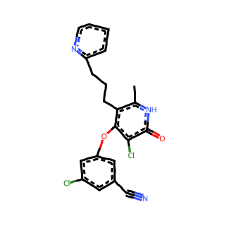 Cc1[nH]c(=O)c(Cl)c(Oc2cc(Cl)cc(C#N)c2)c1CCCc1ccccn1